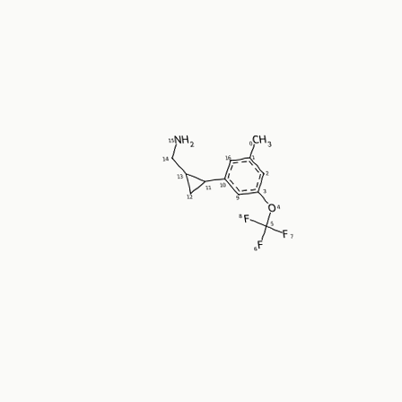 Cc1cc(OC(F)(F)F)cc(C2CC2CN)c1